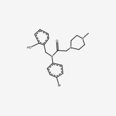 CN1CCN(CC(=O)N(Cc2ccccc2O)c2ccc(Br)cc2)CC1